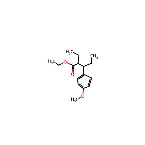 CCOC(=O)C(CC)C(CC)c1ccc(OC)cc1